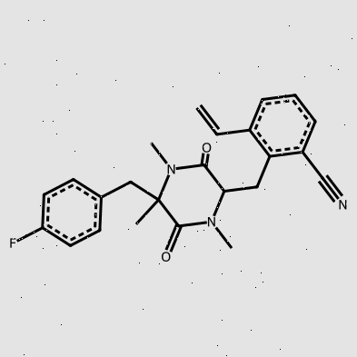 C=Cc1cccc(C#N)c1CC1C(=O)N(C)C(C)(Cc2ccc(F)cc2)C(=O)N1C